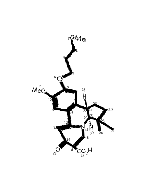 COCCCOc1cc2c(cc1OC)-c1cc(=O)c(C(=O)O)cn1[C@H]1[C@H]2CCC1(C)C